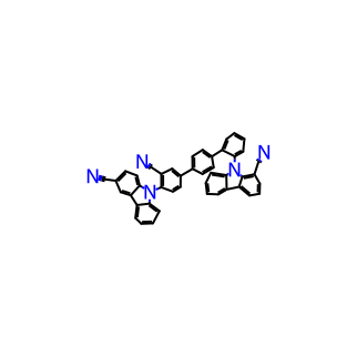 N#Cc1ccc2c(c1)c1ccccc1n2-c1ccc(-c2ccc(-c3ccccc3-n3c4ccccc4c4cccc(C#N)c43)cc2)cc1C#N